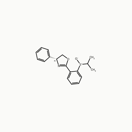 CC(C)[S+]([O-])c1ccccc1C1=N[C@H](c2ccccc2)CO1